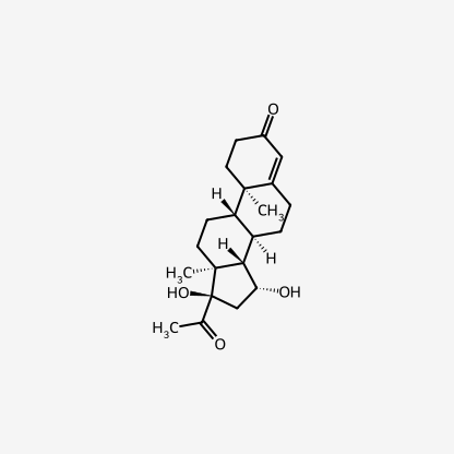 CC(=O)[C@@]1(O)C[C@@H](O)[C@H]2[C@@H]3CCC4=CC(=O)CC[C@]4(C)[C@H]3CC[C@@]21C